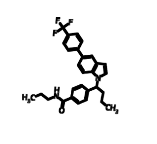 CCCNC(=O)c1ccc(C(CCC)n2ccc3cc(-c4ccc(C(F)(F)F)cc4)ccc32)cc1